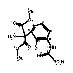 CC(C)(C)OC(=O)C(N)(C(=O)OC(C)(C)C)c1cccc(NC(=N)S(=O)(=O)O)c1Cl